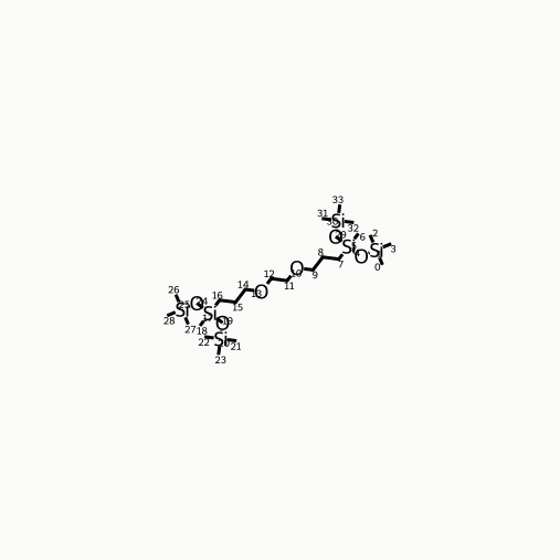 C[Si](C)(C)O[Si](C)(CCCOCCOCCC[Si](C)(O[Si](C)(C)C)O[Si](C)(C)C)O[Si](C)(C)C